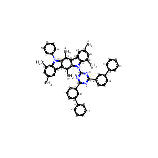 Bc1cc(B)c2c(c1)c1c(B)c3c(c(B)c1n2-c1ccccc1)c1cc(B)cc(B)c1n3-c1nc(-c2cccc(-c3ccccc3)c2)nc(-c2cccc(-c3ccccc3)c2)n1